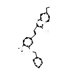 CCc1ccn2c(C)c(/C=C/c3ccc([N+](=O)[O-])c(OCc4ccccc4)c3)nc2c1